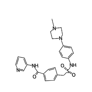 CN1CCN(c2ccc(NS(=O)(=O)Cc3ccc(C(=O)Nc4cccnc4)cc3)cc2)CC1